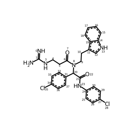 N=C(N)NCCC(=O)N(CCc1c[nH]c2ccccc12)C(C(=O)Nc1ccc(Cl)cc1)c1ccc(Cl)cc1